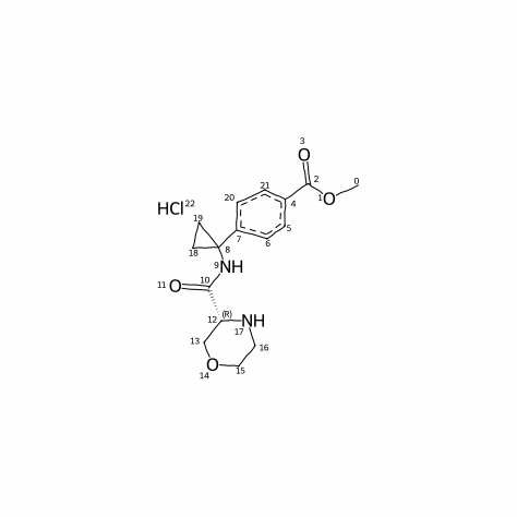 COC(=O)c1ccc(C2(NC(=O)[C@H]3COCCN3)CC2)cc1.Cl